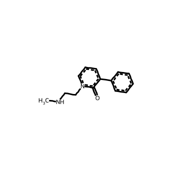 CNCCn1cccc(-c2ccccc2)c1=O